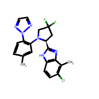 Cc1c[c]c(-n2nccn2)c(N2CC(F)(F)C[C@H]2c2nc3c(C)c(Cl)ccc3[nH]2)c1